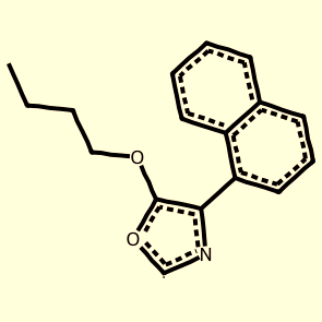 CCCCOc1o[c]nc1-c1cccc2ccccc12